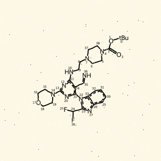 CC(C)(C)OC(=O)N1CCN(CCNc2nc(N3CCOCC3)nc(-n3c(C(F)F)nc4ccccc43)c2C=N)CC1